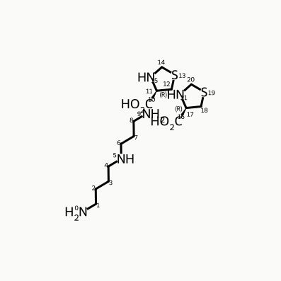 NCCCCNCCCN.O=C(O)[C@@H]1CSCN1.O=C(O)[C@@H]1CSCN1